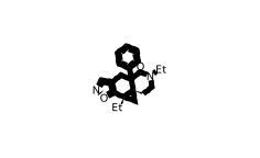 CCN1CC[C@]23C[C@@]2(CC)c2oncc2CC3(c2ccccc2)C1=O